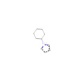 [CH]1CCC(n2cccc2)CC1